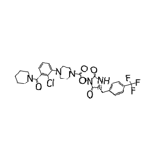 O=C(ON1C(=O)N[C@@H](Cc2ccc(C(F)(F)F)cc2)C1=O)N1CCN(c2cccc(C(=O)N3CCCCC3)c2Cl)CC1